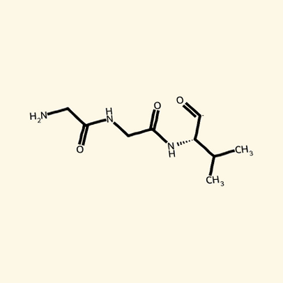 CC(C)[C@@H]([C]=O)NC(=O)CNC(=O)CN